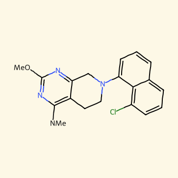 CNc1nc(OC)nc2c1CCN(c1cccc3cccc(Cl)c13)C2